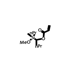 C=CC(=O)OC(CCC)[Si](C)(CCC)OC